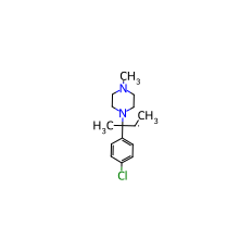 C[CH]C(C)(c1ccc(Cl)cc1)N1CCN(C)CC1